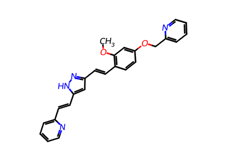 COc1cc(OCc2ccccn2)ccc1/C=C/c1cc(C=Cc2ccccn2)[nH]n1